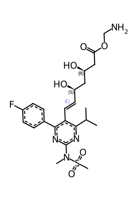 CC(C)c1nc(N(C)S(C)(=O)=O)nc(-c2ccc(F)cc2)c1/C=C/[C@@H](O)C[C@@H](O)CC(=O)OCN